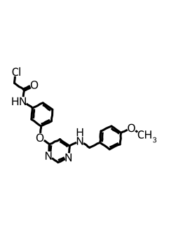 COc1ccc(CNc2cc(Oc3cccc(NC(=O)CCl)c3)ncn2)cc1